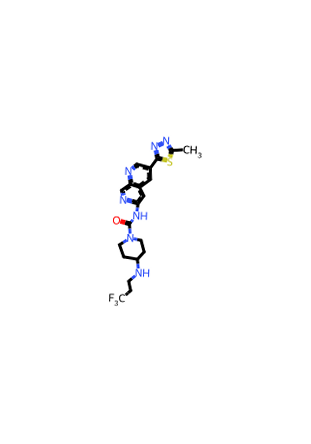 Cc1nnc(-c2cnc3cnc(NC(=O)N4CCC(NCCC(F)(F)F)CC4)cc3c2)s1